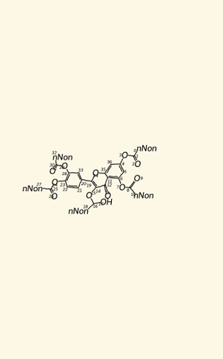 CCCCCCCCCC(=O)Oc1cc(OC(=O)CCCCCCCCC)c2c(=O)c(OC(O)CCCCCCCCC)c(-c3ccc(OC(=O)CCCCCCCCC)c(OC(=O)CCCCCCCCC)c3)oc2c1